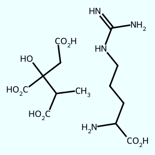 CC(C(=O)O)C(O)(CC(=O)O)C(=O)O.N=C(N)NCCCC(N)C(=O)O